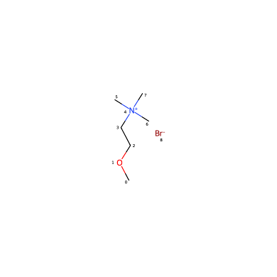 COCC[N+](C)(C)C.[Br-]